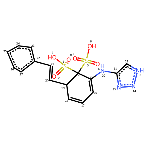 O=S(=O)(O)C1(S(=O)(=O)O)C(Nc2c[nH]nn2)=CC=CC1C=Cc1ccccc1